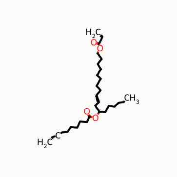 C=CCCCCCCCC(=O)OC(CC=CCCCCCCCCOC(=O)C=C)CCCCCC